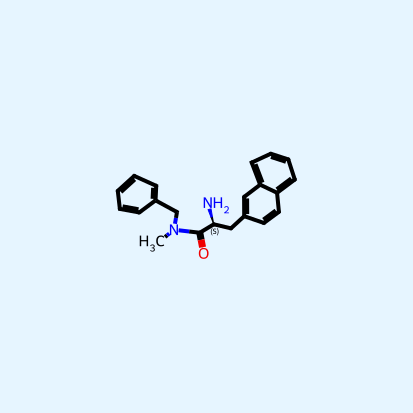 CN(Cc1ccccc1)C(=O)[C@@H](N)Cc1ccc2ccccc2c1